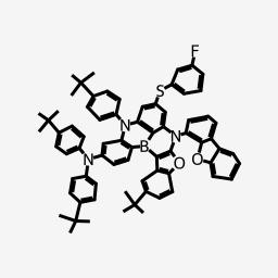 CC(C)(C)c1ccc(N(c2ccc(C(C)(C)C)cc2)c2ccc3c(c2)N(c2ccc(C(C)(C)C)cc2)c2cc(Sc4cccc(F)c4)cc4c2B3c2c(oc3ccc(C(C)(C)C)cc23)N4c2cccc3c2oc2ccccc23)cc1